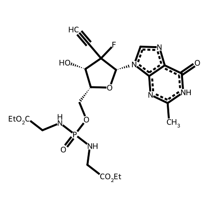 C#CC1(F)[C@@H](O)[C@@H](COP(=O)(NCC(=O)OCC)NCC(=O)OCC)O[C@H]1n1cnc2c(=O)[nH]c(C)nc21